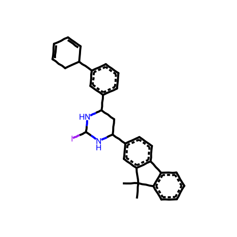 CC1(C)c2ccccc2-c2ccc(C3CC(c4cccc(C5C=CC=CC5)c4)NC(I)N3)cc21